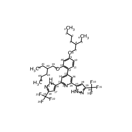 CCCCC(CC)COc1ccc(-c2cc(-c3cc(C(F)(F)F)n[nH]3)nc(-c3cc(C(F)(F)F)n[nH]3)c2)c(OCC(CC)CCC)c1